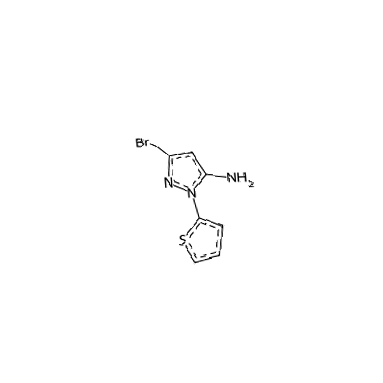 Nc1cc(Br)nn1-c1cccs1